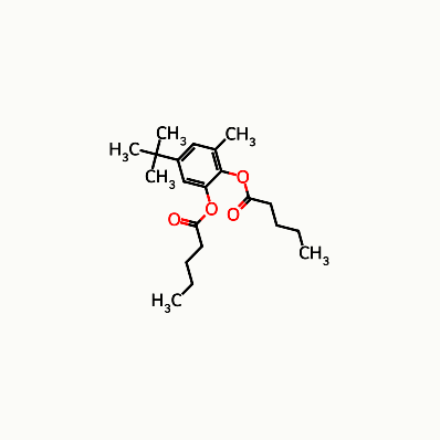 CCCCC(=O)Oc1cc(C(C)(C)C)cc(C)c1OC(=O)CCCC